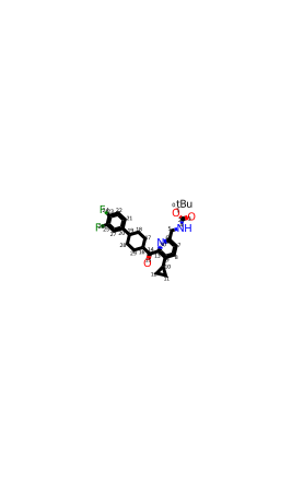 CC(C)(C)OC(=O)NCc1ccc(C2CC2)c(C(=O)C2CCC(c3ccc(F)c(F)c3)CC2)n1